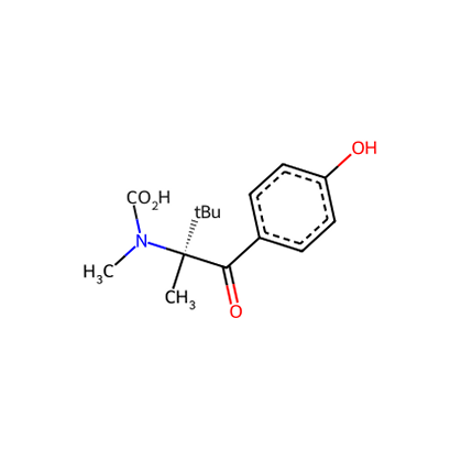 CN(C(=O)O)[C@](C)(C(=O)c1ccc(O)cc1)C(C)(C)C